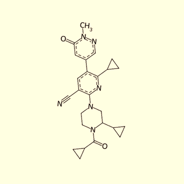 Cn1ncc(-c2cc(C#N)c(N3CCN(C(=O)C4CC4)C(C4CC4)C3)nc2C2CC2)cc1=O